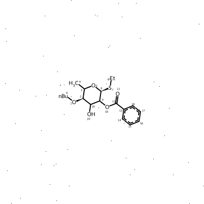 CCCCO[C@H]1C(C)O[C@@H](SCC)C(OC(=O)c2ccccc2)C1O